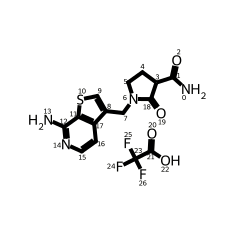 NC(=O)C1CCN(Cc2csc3c(N)nccc23)C1=O.O=C(O)C(F)(F)F